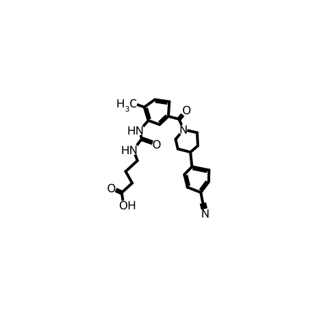 Cc1ccc(C(=O)N2CCC(c3ccc(C#N)cc3)CC2)cc1NC(=O)NCCCC(=O)O